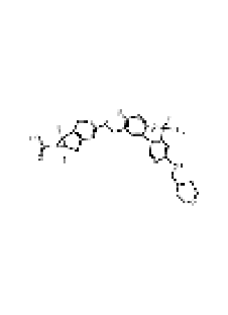 CC(C)(F)c1cc(NCC2CCOCC2)ncc1-c1ccc(F)c(COc2ccc3c(c2)C[C@H]2[C@H](C(=O)O)[C@@H]32)c1